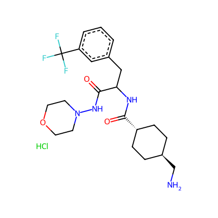 Cl.NC[C@H]1CC[C@H](C(=O)NC(Cc2cccc(C(F)(F)F)c2)C(=O)NN2CCOCC2)CC1